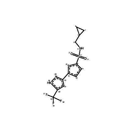 O=S(=O)(NCC1CC1)c1ccc(-c2cc(C(F)(F)F)[nH]n2)s1